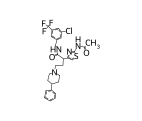 CC(=O)Nc1nc(C(CCN2CCC(c3ccccc3)CC2)C(=O)NCc2cc(Cl)cc(C(F)(F)F)c2)cs1